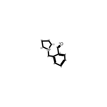 O=Cc1ccccc1CN1CCCC1